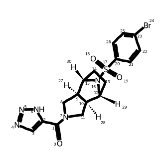 O=C(c1cnn[nH]1)N1C[C@@H]2[C@H](C1)[C@H]1CC[C@@H]2N1S(=O)(=O)c1ccc(Br)cc1